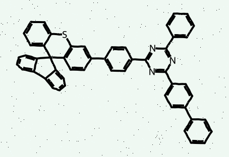 c1ccc(-c2ccc(-c3nc(-c4ccccc4)nc(-c4ccc(-c5ccc6c(c5)Sc5ccccc5C65c6ccccc6-c6ccccc65)cc4)n3)cc2)cc1